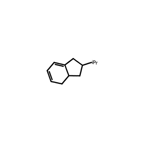 CC(C)C1CC2=CC=CCC2C1